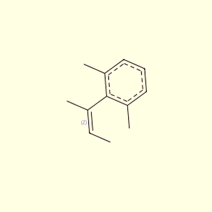 C/C=C(/C)c1c(C)cccc1C